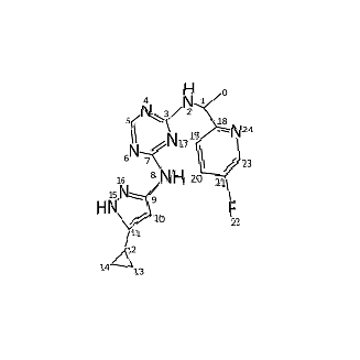 CC(Nc1ncnc(Nc2cc(C3CC3)[nH]n2)n1)c1ccc(F)cn1